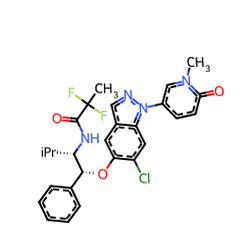 CC(C)[C@H](NC(=O)C(C)(F)F)[C@H](Oc1cc2cnn(-c3ccc(=O)n(C)c3)c2cc1Cl)c1ccccc1